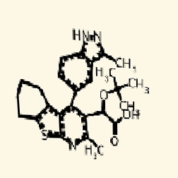 Cc1nc2sc3c(c2c(-c2ccc4[nH]nc(C)c4c2)c1C(OC(C)(C)C)C(=O)O)CCCC3